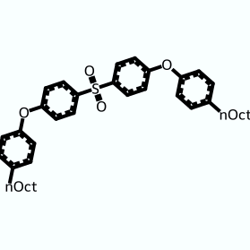 CCCCCCCCc1ccc(Oc2ccc(S(=O)(=O)c3ccc(Oc4ccc(CCCCCCCC)cc4)cc3)cc2)cc1